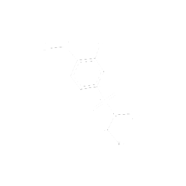 CCOC(=O)c1cc(S(=O)(=O)N(C)CC(C)C)ccc1OCC